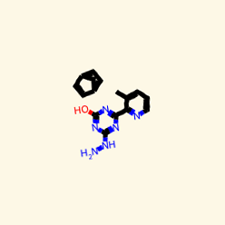 C1=CC2=CC=C1C2.Cc1cccnc1-c1nc(O)nc(NN)n1